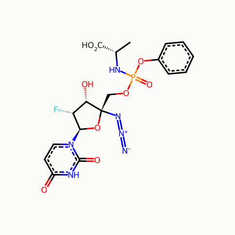 C[C@H](NP(=O)(OC[C@@]1(N=[N+]=[N-])O[C@@H](n2ccc(=O)[nH]c2=O)[C@H](F)[C@@H]1O)Oc1ccccc1)C(=O)O